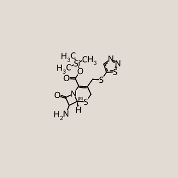 C[Si](C)(C)OC(=O)C1=C(CSc2cnns2)CS[C@@H]2C(N)C(=O)N12